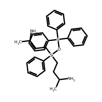 CC(N)CC[Si](CCC(C)N)(O[Si](c1ccccc1)(c1ccccc1)c1ccccc1)c1ccccc1